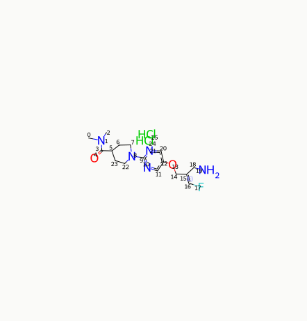 CN(C)C(=O)C1CCN(c2ncc(OC/C(=C/F)CN)cn2)CC1.Cl.Cl